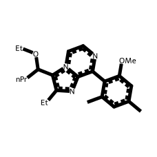 CCCC(OCC)c1c(CC)nc2c(-c3c(C)cc(C)cc3OC)nccn12